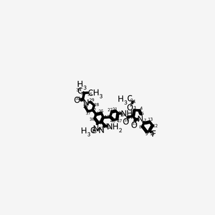 CCOc1ccn(-c2ccc(F)cc2)c(=O)c1C(=O)Nc1ccc(-c2cc(C3CCN(C(=O)C(C)C)CC3)cc3c2c(N)nn3C)cc1